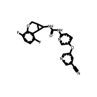 N#Cc1cncc(Oc2ccc(NC(=O)NC3C4COc5c(F)ccc(F)c5C43)nc2)c1